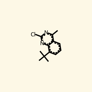 Cc1nc(Cl)nc2c(C(C)(C)C)cccc12